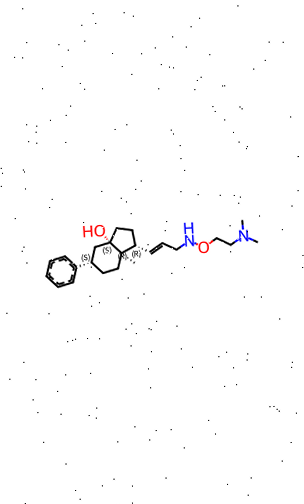 CN(C)CCONCC=C[C@H]1CC[C@]2(O)C[C@@H](c3ccccc3)CC[C@]12C